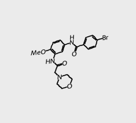 COc1ccc(NC(=O)c2ccc(Br)cc2)cc1NC(=O)CN1CCOCC1